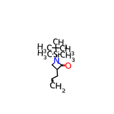 C=CCC1CN([Si](C)(C)C(C)(C)C)C1=O